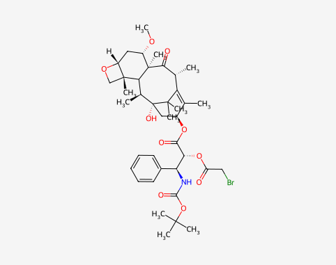 CO[C@H]1C[C@H]2OC[C@@]2(C)C2[C@H](C)[C@]3(O)C[C@H](OC(=O)[C@H](OC(=O)CBr)[C@@H](NC(=O)OC(C)(C)C)c4ccccc4)C(C)=C([C@@H](C)C(=O)[C@@]21C)C3(C)C